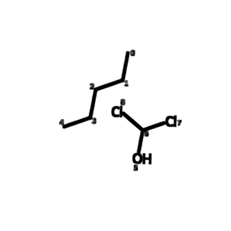 CCCCC.OC(Cl)Cl